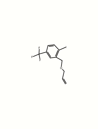 C=CCOCc1cc(C(F)(F)F)ccc1I